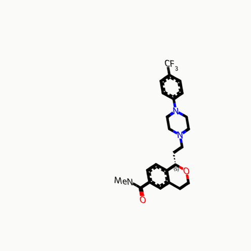 CNC(=O)c1ccc2c(c1)CCO[C@H]2CCN1CCN(c2ccc(C(F)(F)F)cc2)CC1